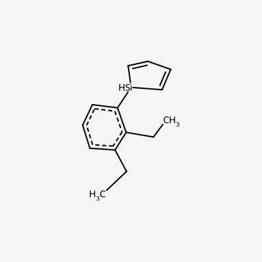 CCc1cccc([SiH]2C=CC=C2)c1CC